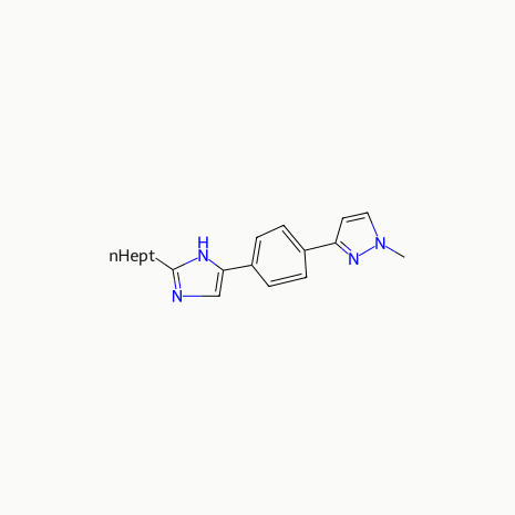 CCCCCCCc1ncc(-c2ccc(-c3ccn(C)n3)cc2)[nH]1